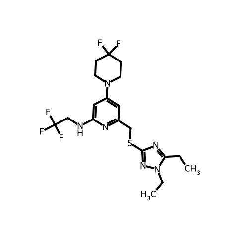 CCc1nc(SCc2cc(N3CCC(F)(F)CC3)cc(NCC(F)(F)F)n2)nn1CC